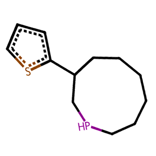 c1csc(C2CCCCCCPC2)c1